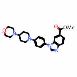 COC(=O)c1ccc2ncn(-c3ccc(N4CCC(N5CCOCC5)CC4)cc3)c2c1